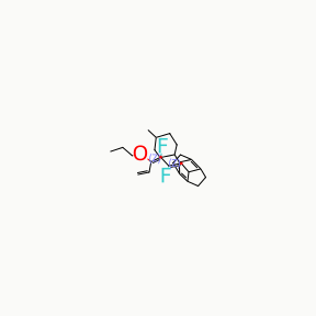 C=C/C(OCCC)=C(F)\C(F)=C\C1C2=C3CCC(=C1CC2)C3C1CCC(C)CC1